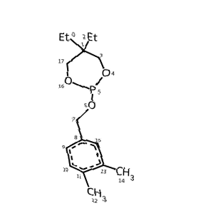 CCC1(CC)COP(OCc2ccc(C)c(C)c2)OC1